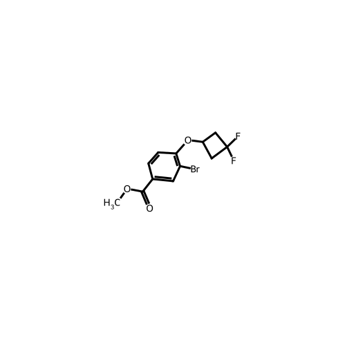 COC(=O)c1ccc(OC2CC(F)(F)C2)c(Br)c1